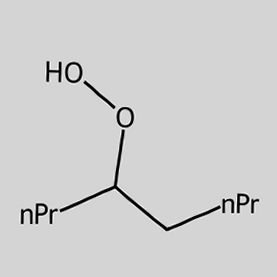 CCCCC(CCC)OO